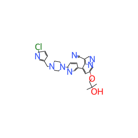 CC(C)(O)COc1cc(-c2ccc(N3CCN(Cc4ccc(Cl)nc4)CC3)nc2)c2c(C#N)cnn2c1